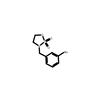 CCC(C)c1cccc(CN2CCOS2(=O)=O)c1